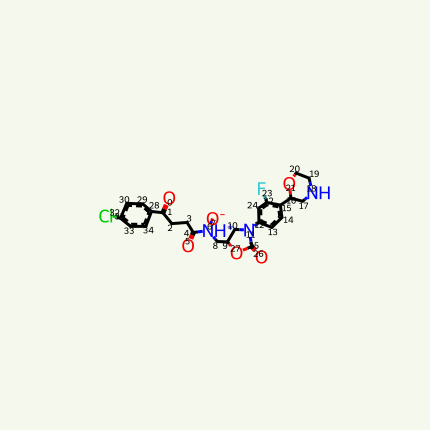 O=C(CCC(=O)[NH+]([O-])CC1CN(c2ccc(C3CNCCO3)c(F)c2)C(=O)O1)c1ccc(Cl)cc1